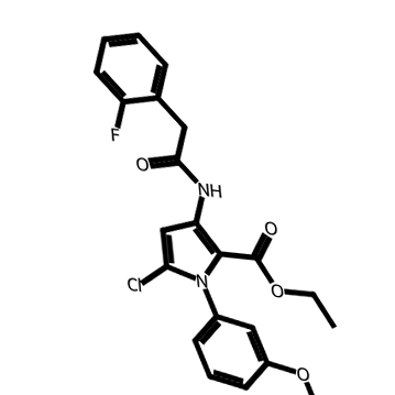 CCOC(=O)c1c(NC(=O)Cc2ccccc2F)cc(Cl)n1-c1cccc(OC)c1